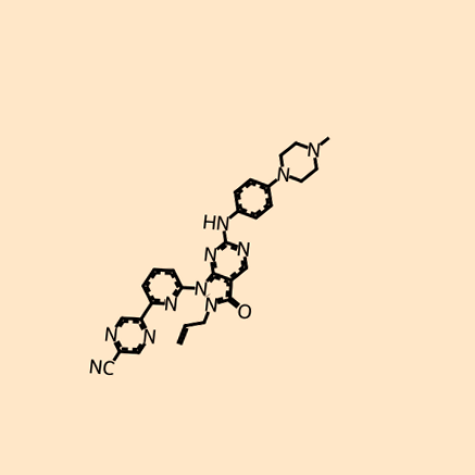 C=CCn1c(=O)c2cnc(Nc3ccc(N4CCN(C)CC4)cc3)nc2n1-c1cccc(-c2cnc(C#N)cn2)n1